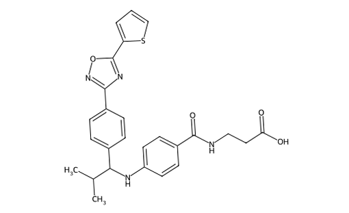 CC(C)C(Nc1ccc(C(=O)NCCC(=O)O)cc1)c1ccc(-c2noc(-c3cccs3)n2)cc1